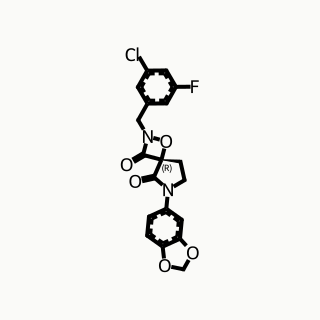 O=C1N(Cc2cc(F)cc(Cl)c2)O[C@@]12CCN(c1ccc3c(c1)OCO3)C2=O